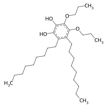 CCCCCCCCCc1c(O)c(O)c(OCCC)c(OCCC)c1CCCCCCCCC